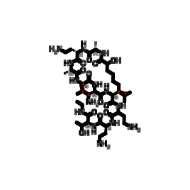 CCCCCCC(O)C(=O)N[C@@H](C)C(=O)N[C@@H](CCN)C(=O)N[C@@H](C)C(=O)N[C@@H](CCN)C(=O)N[C@H](CC(C)C)C(=O)N[C@@H](CC(C)C)C(=O)NC(CCN)C(=O)N[C@@H](CCN)C(=O)N[C@H](C(=O)NCC)C(C)O